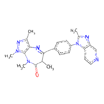 Cc1nn(C)c2c1N=C(c1ccc(-n3c(C)nc4cnccc43)cc1)C(C)C(=O)N2C